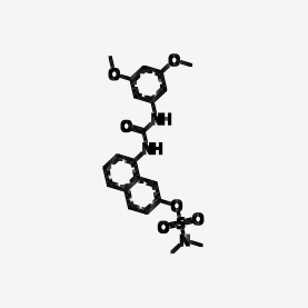 COc1cc(NC(=O)Nc2cccc3ccc(OS(=O)(=O)N(C)C)cc23)cc(OC)c1